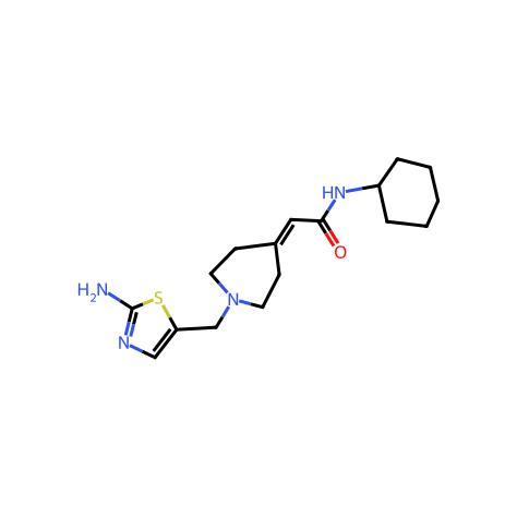 Nc1ncc(CN2CCC(=CC(=O)NC3CCCCC3)CC2)s1